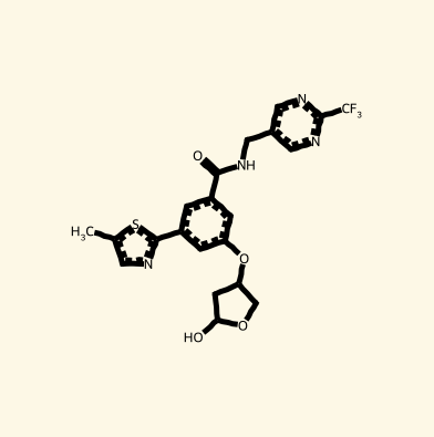 Cc1cnc(-c2cc(OC3COC(O)C3)cc(C(=O)NCc3cnc(C(F)(F)F)nc3)c2)s1